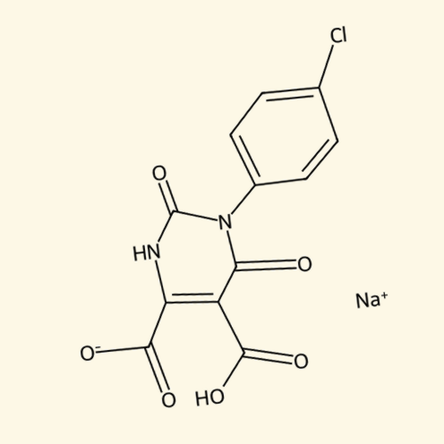 O=C([O-])c1[nH]c(=O)n(-c2ccc(Cl)cc2)c(=O)c1C(=O)O.[Na+]